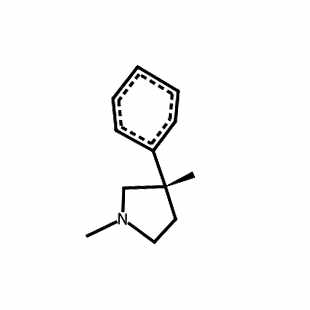 CN1CC[C@@](C)(c2ccccc2)C1